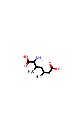 CC(CC(=O)O)CC(C)C(N)C(=O)O